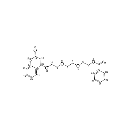 C=C(OCCOCCOCCOc1cc(=O)sc2ccccc12)c1ccccc1